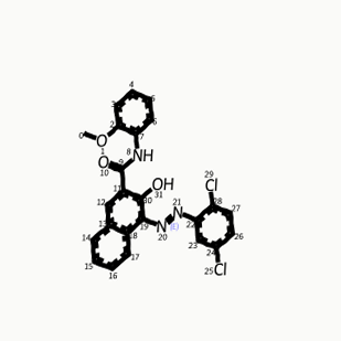 COc1ccccc1NC(=O)c1cc2ccccc2c(/N=N/c2cc(Cl)ccc2Cl)c1O